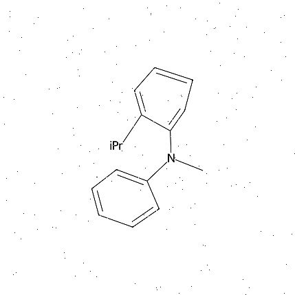 CC(C)c1ccccc1N(C)c1ccccc1